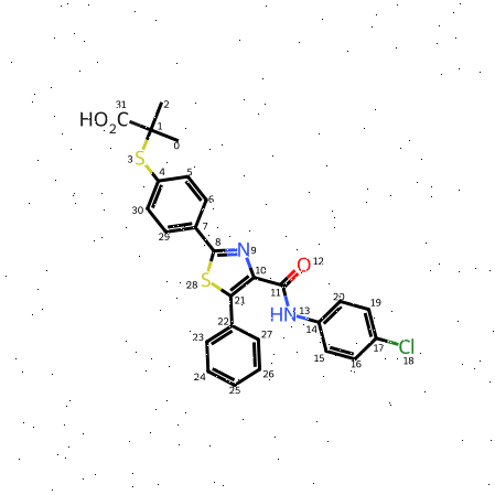 CC(C)(Sc1ccc(-c2nc(C(=O)Nc3ccc(Cl)cc3)c(-c3ccccc3)s2)cc1)C(=O)O